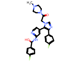 CN1CCN(C(=O)Cn2cnc(-c3ccc(F)cc3)c2-c2ccnc(NC(O)c3ccc(F)cc3)c2)CC1